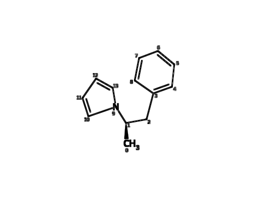 C[C@H](Cc1ccccc1)n1cccc1